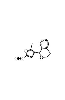 Cc1oc(C=O)cc1C1OCCc2ccccc21